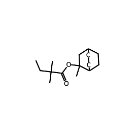 CCC(C)(C)C(=O)OC1(C)CC2CCC1CC2